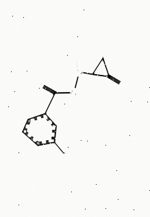 O=C(NNC1CC1=O)c1cccc(I)c1